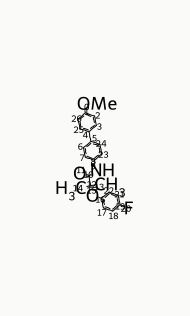 COc1ccc(-c2ccc(NC(=O)C(C)(C)Oc3ccc(F)cc3)cc2)cc1